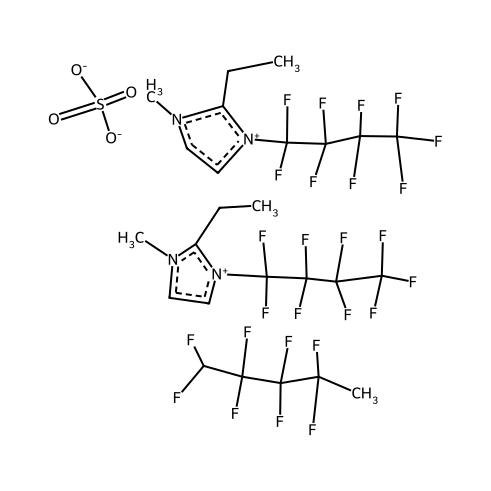 CC(F)(F)C(F)(F)C(F)(F)C(F)F.CCc1n(C)cc[n+]1C(F)(F)C(F)(F)C(F)(F)C(F)(F)F.CCc1n(C)cc[n+]1C(F)(F)C(F)(F)C(F)(F)C(F)(F)F.O=S(=O)([O-])[O-]